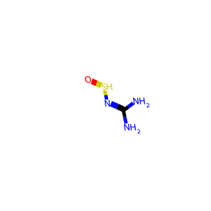 NC(N)=N[SH]=O